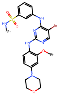 CCCNS(=O)(=O)c1cccc(Nc2nc(Nc3ccc(N4CCOCC4)cc3OCC)ncc2Br)c1